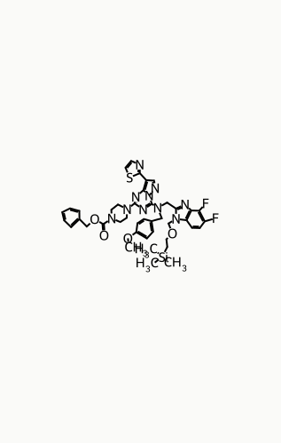 COc1ccc(CN(Cc2nc3c(F)c(F)ccc3n2COCC[Si](C)(C)C)c2nc(N3CCN(C(=O)OCc4ccccc4)CC3)nc3c(-c4nccs4)cnn23)cc1